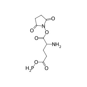 NC(CCC(=O)OP)C(=O)ON1C(=O)CCC1=O